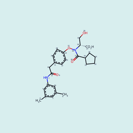 Cc1cc(C)cc(NC(=O)Cc2ccc(ON(C(=O)C3CCCC3)[C@H](CO)C(=O)O)cc2)c1